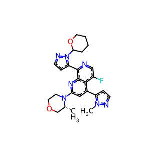 C[C@@H]1COCCN1c1cc(-c2ccnn2C)c2c(F)cnc(-c3ccnn3C3CCCCO3)c2n1